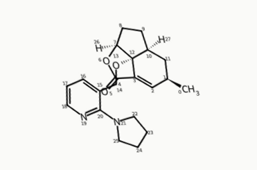 C[C@H]1C=C2C(=O)O[C@H]3CC[C@@H](C1)[C@@]23OCc1cccnc1N1CCCC1